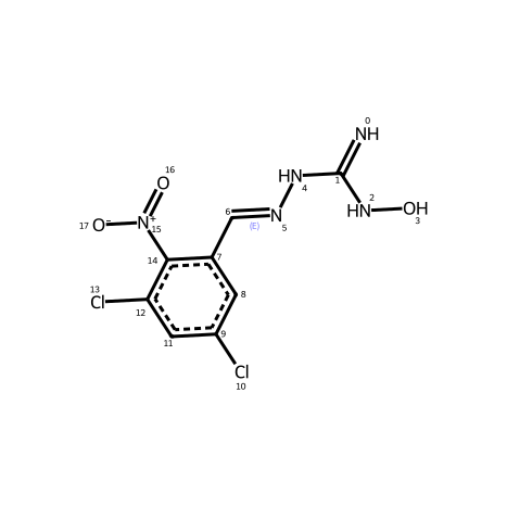 N=C(NO)N/N=C/c1cc(Cl)cc(Cl)c1[N+](=O)[O-]